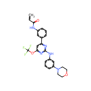 C=CC(=O)Nc1cccc(-c2cc(OC(F)(F)F)nc(Nc3cccc(N4CCOCC4)c3)n2)c1